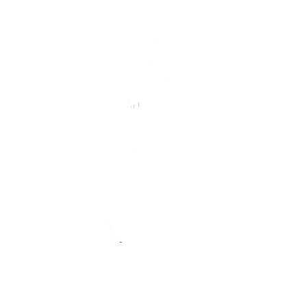 CCCCCCNCC(C)(C)C